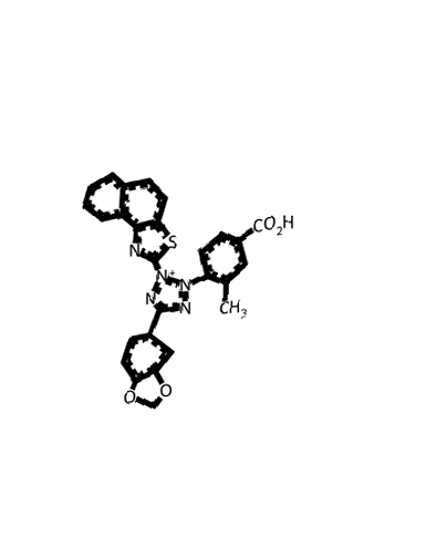 Cc1cc(C(=O)O)ccc1-n1nc(-c2ccc3c(c2)OCO3)n[n+]1-c1nc2c(ccc3ccccc32)s1